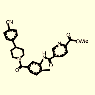 COC(=O)c1ccc(C(=O)Nc2cc(C(=O)N3CCC(c4ccc(C#N)cc4)CC3)ccc2C)cn1